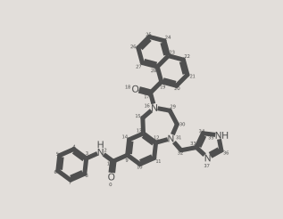 O=C(Nc1ccccc1)c1ccc2c(c1)CN(C(=O)c1cccc3ccccc13)CCN2Cc1c[nH]cn1